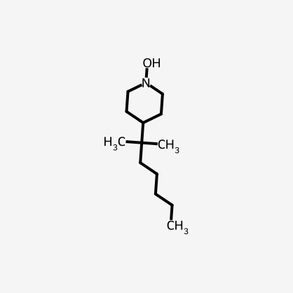 CCCCCC(C)(C)C1CCN(O)CC1